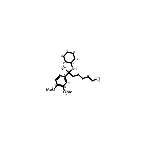 COc1ccc(C(C#N)(CCCCCCl)SC2CCCCC2)cc1OC